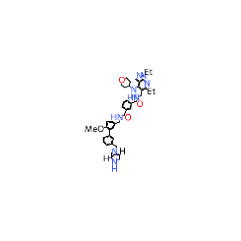 CCc1nc2c(cnn2CC)c(NC2CCOCC2)c1CNC(=O)c1cccc(C(=O)NCc2ccc(OC)c(-c3cccc(CN4C[C@@H]5C[C@H]4CN5)c3)c2)c1